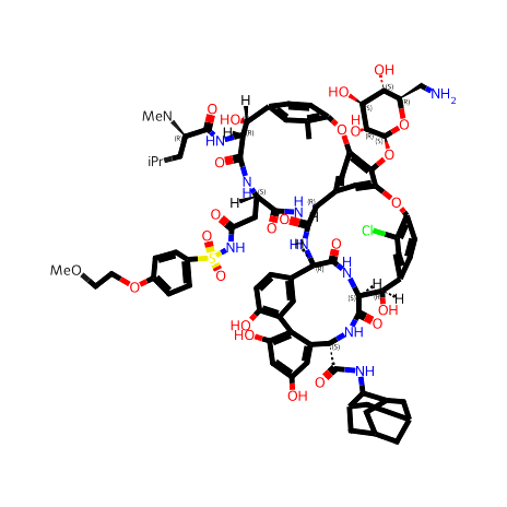 CN[C@H](CC(C)C)C(=O)N[C@H]1C(=O)N[C@@H](CC(=O)NS(=O)(=O)c2ccc(OCCOC)cc2)C(=O)N[C@H]2C(=O)N[C@H]3C(=O)N[C@H](C(=O)N[C@H](C(=O)NC4C5CC6CC(C5)CC4C6)c4cc(O)cc(O)c4-c4cc3ccc4O)[C@H](O)c3ccc(c(Cl)c3)Oc3cc2cc(c3O[C@@H]2O[C@H](CN)[C@@H](O)[C@H](O)[C@H]2O)Oc2ccc(cc2C)[C@H]1O